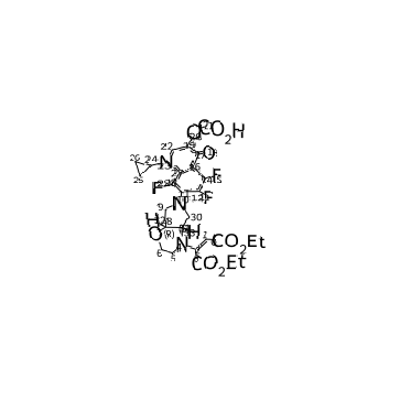 CCOC(=O)C=C(C(=O)OCC)N1CCO[C@@H]2CN(c3c(F)c(F)c4c(=O)c(OC(=O)O)cn(C5CC5)c4c3F)C[C@@H]21